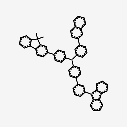 CC1(C)c2ccccc2-c2ccc(-c3ccc(N(c4ccc(-c5cccc(-n6c7ccccc7c7ccccc76)c5)cc4)c4cccc(-c5ccc6ccccc6c5)c4)cc3)cc21